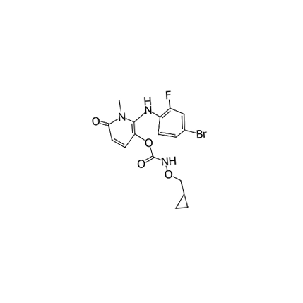 Cn1c(Nc2ccc(Br)cc2F)c(OC(=O)NOCC2CC2)ccc1=O